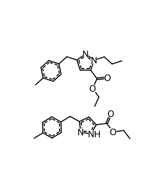 CCCn1nc(Cc2ccc(C)cc2)cc1C(=O)OCC.CCOC(=O)c1cc(Cc2ccc(C)cc2)n[nH]1